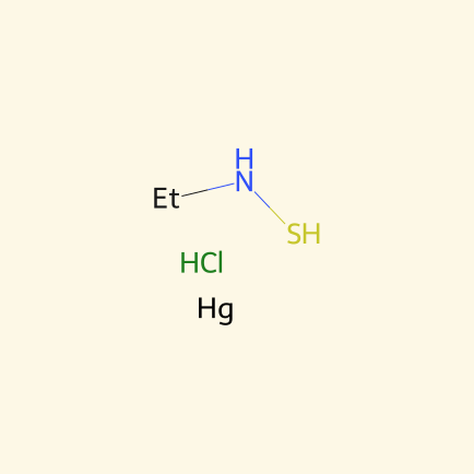 CCNS.Cl.[Hg]